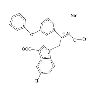 CCO/N=C(\Cn1cc(C(=O)[O-])c2cc(Cl)ccc21)c1cccc(Oc2ccccc2)c1.[Na+]